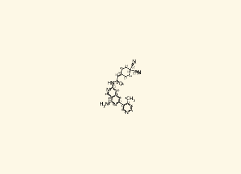 Cc1ccncc1-c1cc2cc(NC(=O)C=C3CCC(C#N)(C#N)CC3)ncc2c(N)n1